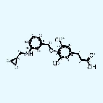 O=C(O)CCc1cc(Cl)c(OCc2cccc(NCC3CC3)c2)c(Cl)c1